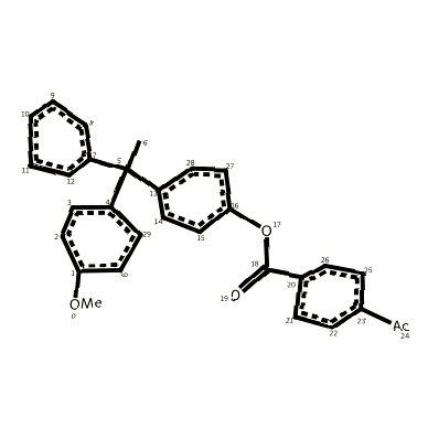 COc1ccc(C(C)(c2ccccc2)c2ccc(OC(=O)c3ccc(C(C)=O)cc3)cc2)cc1